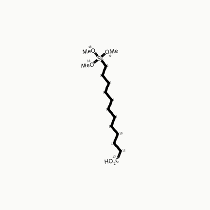 CO[Si](CCCCCCCCCCCC(=O)O)(OC)OC